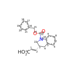 O=C(O)C=C[C@H]1Cc2ccccc2N(C(=O)OCc2ccccc2)C1